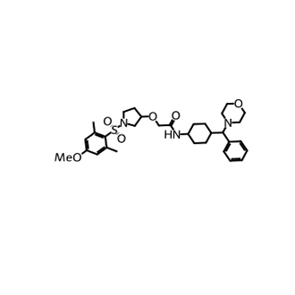 COc1cc(C)c(S(=O)(=O)N2CCC(OCC(=O)NC3CCC(C(c4ccccc4)N4CCOCC4)CC3)C2)c(C)c1